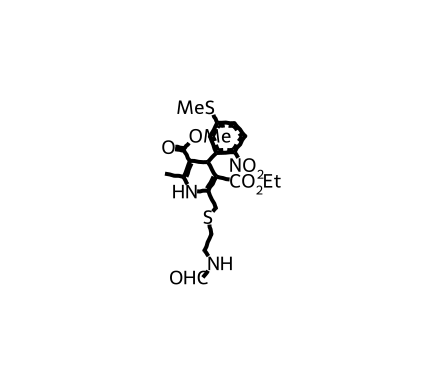 CCOC(=O)C1=C(CSCCNC=O)NC(C)=C(C(=O)OC)C1c1cc(SC)ccc1[N+](=O)[O-]